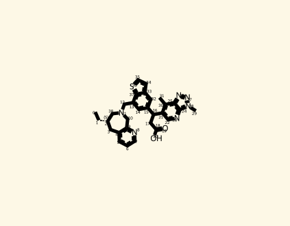 CC[C@H]1Cc2cccnc2CN(Cc2cc(C(CC(=O)O)c3cnc4c(nnn4C)c3C)cc3ccsc23)C1